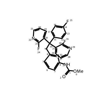 COC(=O)Nc1cccc(CC(c2ccc(F)cc2)(c2cccnc2F)c2cccnc2F)n1